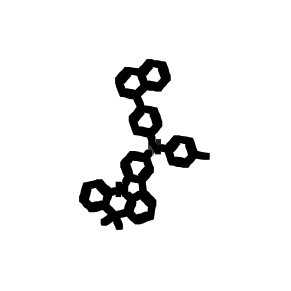 Cc1ccc(N(c2ccc(-c3cccc4ccccc34)cc2)c2ccc3c(c2)c2cccc4c2n3-c2ccccc2C4(C)C)cc1